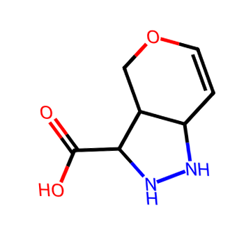 O=C(O)C1NNC2C=COCC21